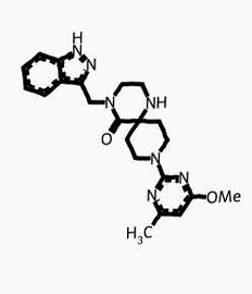 COc1cc(C)nc(N2CCC3(CC2)NCCN(Cc2n[nH]c4ccccc24)C3=O)n1